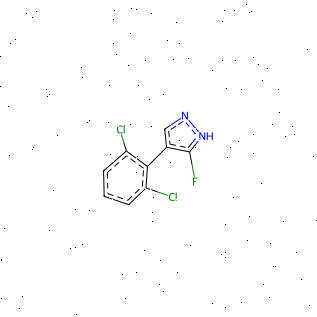 Fc1[nH]ncc1-c1c(Cl)cccc1Cl